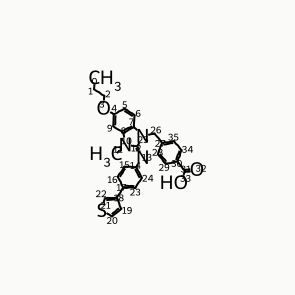 CCCOc1ccc2c(c1)n(C)/c(=N\c1ccc(-c3ccsc3)cc1)n2Cc1ccc(C(=O)O)cc1